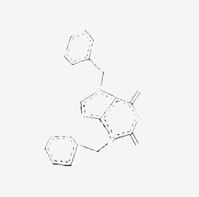 O=c1[nH]c(=O)n(Cc2ccccc2)c2ncn(Cc3ccccc3)c12